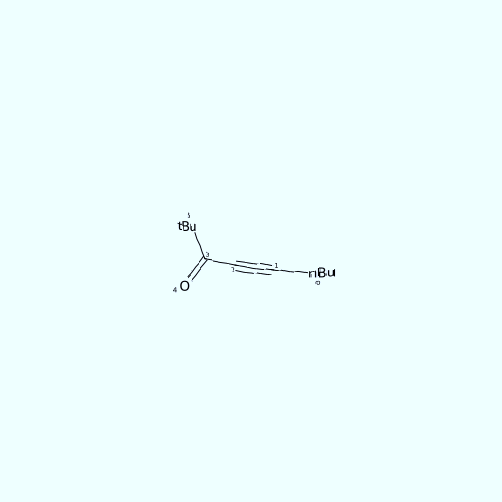 CCCCC#CC(=O)C(C)(C)C